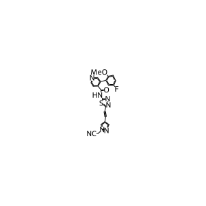 COc1ccc(F)cc1-c1cnccc1C(=O)Nc1nnc(C#Cc2cnn(CC#N)c2)s1